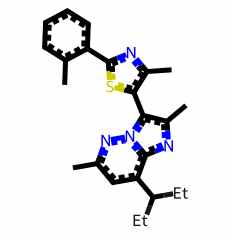 CCC(CC)c1cc(C)nn2c(-c3sc(-c4ccccc4C)nc3C)c(C)nc12